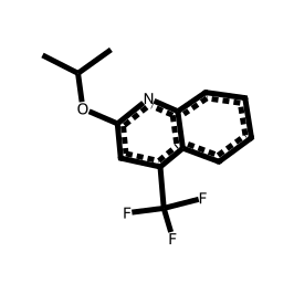 CC(C)Oc1cc(C(F)(F)F)c2ccccc2n1